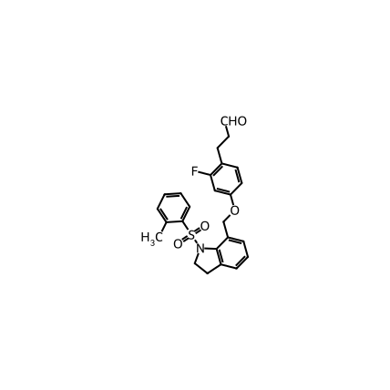 Cc1ccccc1S(=O)(=O)N1CCc2cccc(COc3ccc(CCC=O)c(F)c3)c21